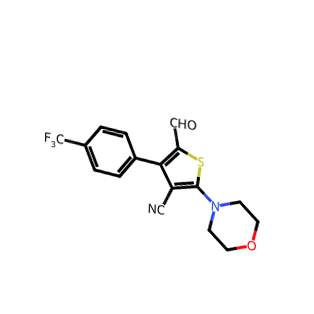 N#Cc1c(N2CCOCC2)sc(C=O)c1-c1ccc(C(F)(F)F)cc1